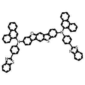 c1ccc2c(c1)cc(N(c1ccc(-c3nc4ccccc4s3)cc1)c1ccc3c(c1)oc1cc4c(cc13)sc1cc(N(c3ccc(-c5nc6ccccc6s5)cc3)c3cc5ccccc5c5ccccc35)ccc14)c1ccccc12